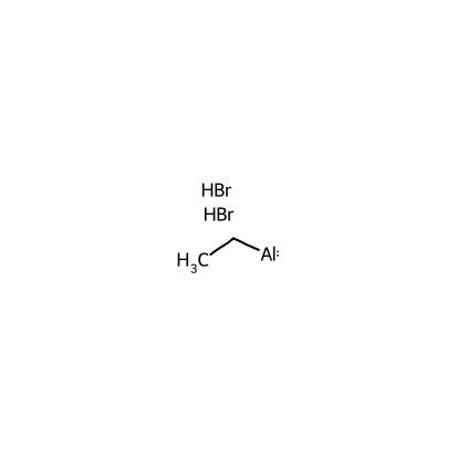 Br.Br.C[CH2][Al]